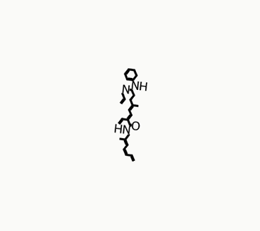 C=C/C=C\C=C(/C)CNC(=O)/C(C=C)=C/C=C(\C)CCC(/N=C\C=C)NC1=CC=CCC1